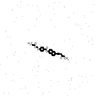 C=CC(=O)CC#Cc1ccc2cc(OC(=O)c3ccc(OCOC(=O)C=C)cc3)ccc2c1